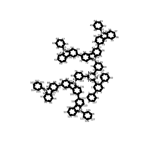 c1ccc(-c2ccc(-c3ccccc3)c(-c3nc(-c4cccc(-n5c6ccc(-c7ccc8c(c7)c7ccccc7n8-c7ccccc7)cc6c6cc(-c7ccc8c(c7)c7ccccc7n8-c7ccccc7)ccc65)c4)nc(-c4cccc(-n5c6ccc(-c7ccc8c(c7)c7ccccc7n8-c7ccccc7)cc6c6cc(-c7ccc8c(c7)c7ccccc7n8-c7ccccc7)ccc65)c4)n3)c2)cc1